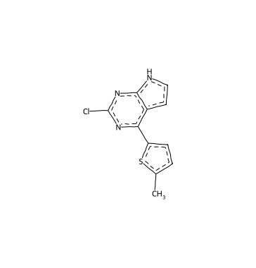 Cc1ccc(-c2nc(Cl)nc3[nH]ccc23)s1